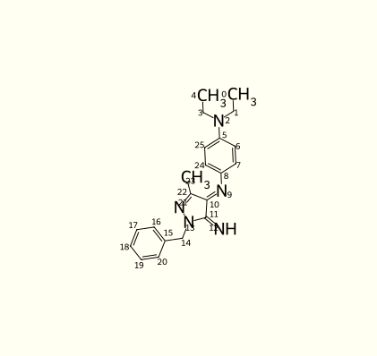 CCN(CC)c1ccc(N=C2C(=N)N(Cc3ccccc3)N=C2C)cc1